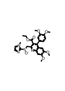 CCOC(=O)c1c(C[S+]([O-])c2nccn2C)nc2cc(OC)c(OC)cc2c1-c1ccc(OC)c(OC)c1